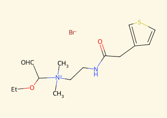 CCOC(C=O)[N+](C)(C)CCNC(=O)Cc1ccsc1.[Br-]